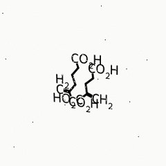 C=C(CCC(=O)O)C(=O)O.C=C(CCCC(=O)O)C(=O)O